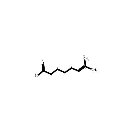 CCC(=O)CCCCC=C(C)C